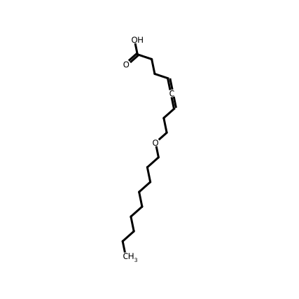 CCCCCCCCCOCCC=C=CCCC(=O)O